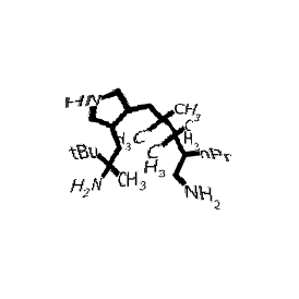 CCCC(CN)C(C)(C)C(C)(C)CC1CNCC1CC(C)(N)C(C)(C)C